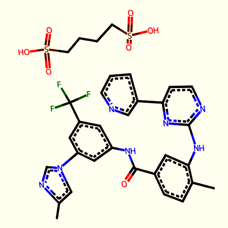 Cc1cn(-c2cc(NC(=O)c3ccc(C)c(Nc4nccc(-c5cccnc5)n4)c3)cc(C(F)(F)F)c2)cn1.O=S(=O)(O)CCCCS(=O)(=O)O